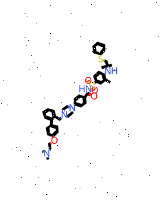 Cc1cc(S(=O)(=O)NC(=O)c2ccc(N3CCN(Cc4ccccc4-c4ccc(OCCN(C)C)cc4)CC3)cc2)ccc1NC(C)(C)CSc1ccccc1